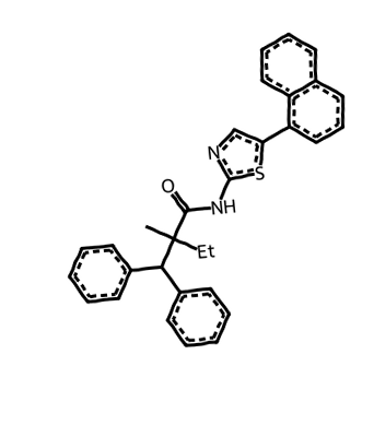 CCC(C)(C(=O)Nc1ncc(-c2cccc3ccccc23)s1)C(c1ccccc1)c1ccccc1